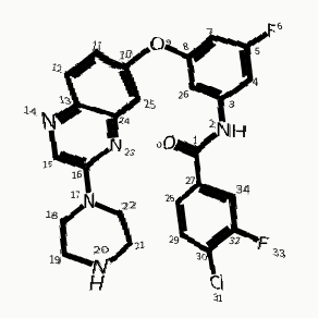 O=C(Nc1cc(F)cc(Oc2ccc3ncc(N4CCNCC4)nc3c2)c1)c1ccc(Cl)c(F)c1